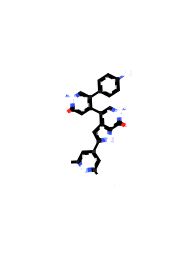 Cc1cc(-c2cc3c(-c4cc(=O)n(C)cc4-c4ccc(N)cc4)cn(C)c(=O)c3[nH]2)cc(C)n1